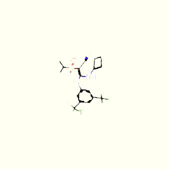 CC(C)S(=O)(=O)/C(C#N)=C(\Nc1cc(C(F)(F)F)cc(C(F)(F)F)c1)NC1CCC1